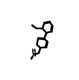 CCC1C=CC=CC1C1=CCC(CNC)C=C1